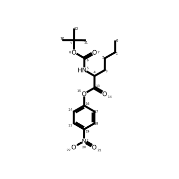 CCCCC(NC(=O)OC(C)(C)C)C(=O)Oc1ccc([N+](=O)[O-])cc1